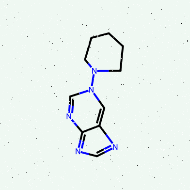 c1nc2cn(N3CCCCC3)cnc-2n1